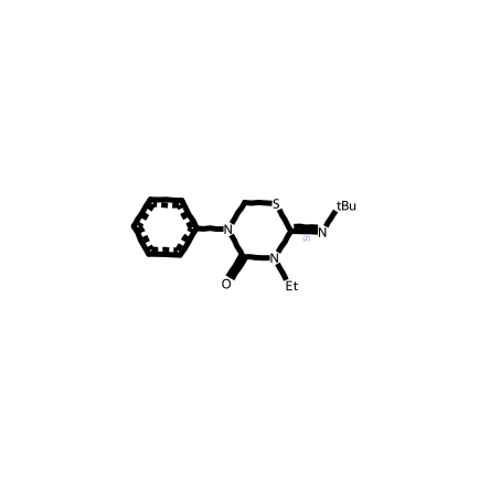 CCN1C(=O)N(c2ccccc2)CS/C1=N\C(C)(C)C